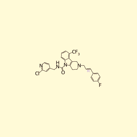 O=C(NCc1ccnc(Cl)c1)n1c2c(c3c(C(F)(F)F)cccc31)CN(C/C=C/c1ccc(F)cc1)CC2